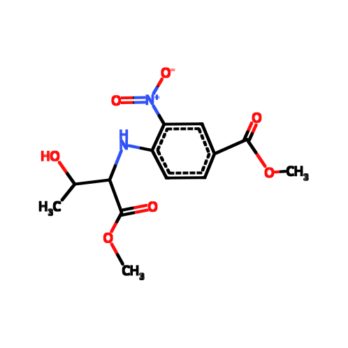 COC(=O)c1ccc(NC(C(=O)OC)C(C)O)c([N+](=O)[O-])c1